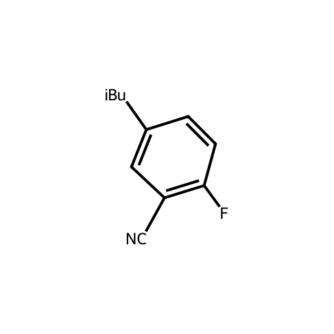 CCC(C)c1ccc(F)c(C#N)c1